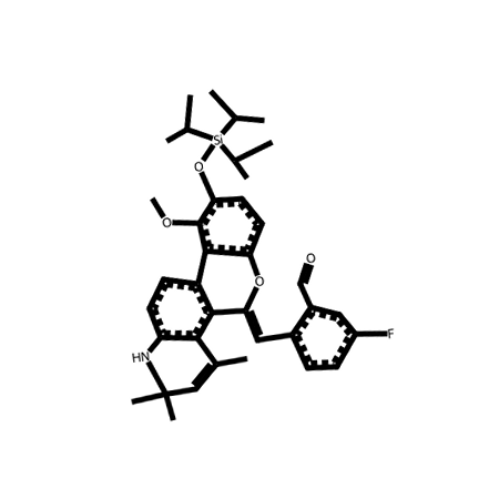 COc1c(O[Si](C(C)C)(C(C)C)C(C)C)ccc2c1-c1ccc3c(c1/C(=C/c1ccc(F)cc1C=O)O2)C(C)=CC(C)(C)N3